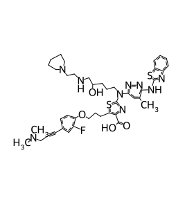 Cc1cc(N(CCCC(O)CNCCN2CCCCC2)c2nc(C(=O)O)c(CCCOc3ccc(C#CCN(C)C)cc3F)s2)nnc1Nc1nc2ccccc2s1